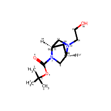 CC(C)(C)OC(=O)N1C[C@H]2C[C@@H]1CN2CCO